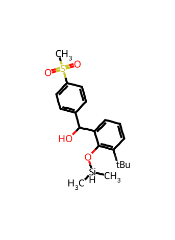 C[SiH](C)Oc1c(C(O)c2ccc(S(C)(=O)=O)cc2)cccc1C(C)(C)C